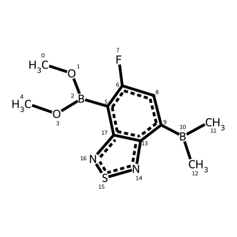 COB(OC)c1c(F)cc(B(C)C)c2nsnc12